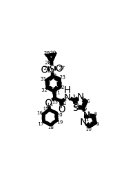 O=C(Nc1ncc(-n2cccn2)s1)C(OC1CCCCC1)c1ccc(S(=O)(=O)C2CC2)cc1